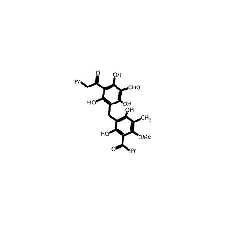 COc1c(C)c(O)c(Cc2c(O)c(C=O)c(O)c(C(=O)CC(C)C)c2O)c(O)c1C(=O)C(C)C